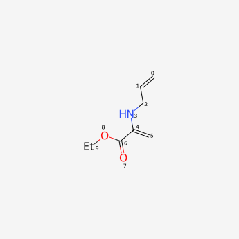 C=CCNC(=C)C(=O)OCC